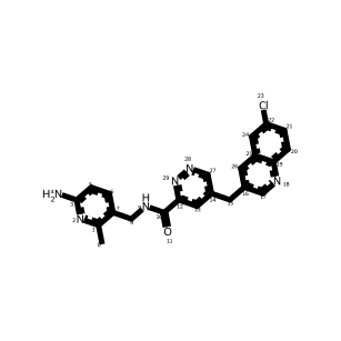 Cc1nc(N)ccc1CNC(=O)c1cc(Cc2cnc3ccc(Cl)cc3c2)cnn1